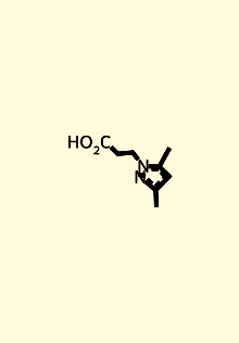 Cc1cc(C)n(CCC(=O)O)n1